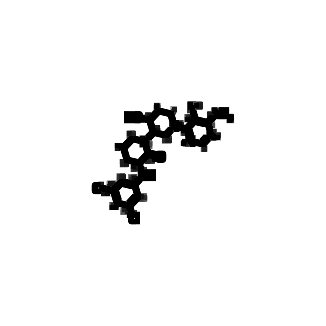 Nc1ncnc(N2CCC(O)C(N3CCC[C@@H](Nc4cc(Cl)cc(Cl)c4)C3=O)C2)c1F